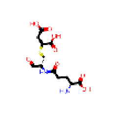 N[C@@H](CCC(=O)N[C@H]([C]=O)CSC(CC(=O)O)C(=O)O)C(=O)O